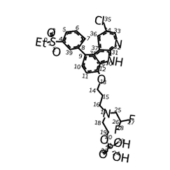 CCS(=O)(=O)c1cccc(-c2ccc(OCCCN(CCOP(=O)(O)O)CC(F)F)c3[nH]c4ncc(Cl)cc4c23)c1